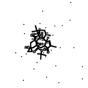 CC1=C[C@H]2[C@@]3(O)[C@H](C)C[C@]4(OC(=O)[C@H](CC5CC5)NC(=O)OC(C)(C)C)[C@H]([C@@H]3C=C(CO)C[C@]2(O)C1=O)C4(C)C